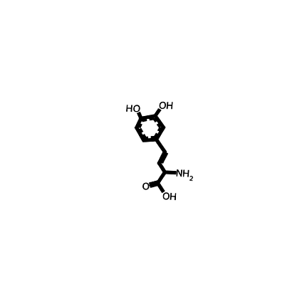 NC(C=Cc1ccc(O)c(O)c1)C(=O)O